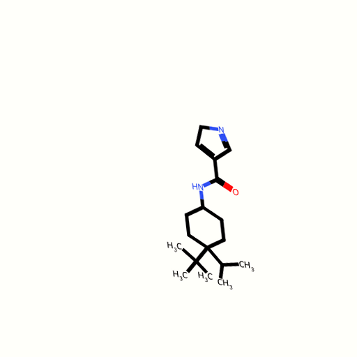 CC(C)C1(C(C)(C)C)CCC(NC(=O)C2=CCN=C2)CC1